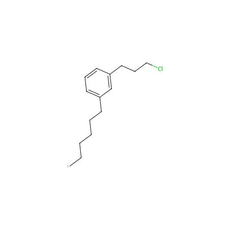 [CH]CCCCCc1cccc(CCCCl)c1